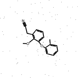 COc1c(CC#N)cccc1Oc1ccccc1C